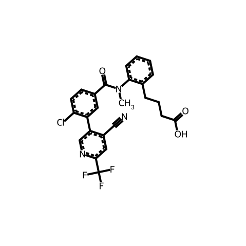 CN(C(=O)c1ccc(Cl)c(-c2cnc(C(F)(F)F)cc2C#N)c1)c1ccccc1CCCC(=O)O